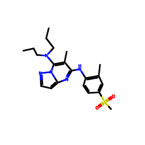 CCCN(CCC)c1c(C)c(Nc2ccc(S(C)(=O)=O)cc2C)nc2ccnn12